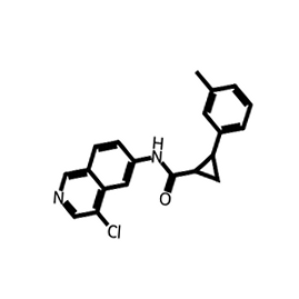 Cc1cccc(C2CC2C(=O)Nc2ccc3cncc(Cl)c3c2)c1